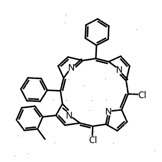 Cc1ccccc1C1=CC2=C(Cl)C3=NC(=C(Cl)C4=NC(=C(c5ccccc5)C5=NC(=C(c6ccccc6)C1=N2)C=C5)C=C4)C=C3